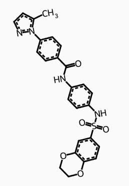 Cc1ccnn1-c1ccc(C(=O)Nc2ccc(NS(=O)(=O)c3ccc4c(c3)OCCO4)cc2)cc1